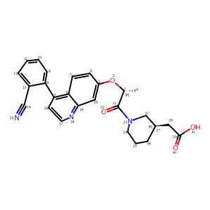 C[C@@H](Oc1ccc2c(-c3ccccc3C#N)ccnc2c1)C(=O)N1CCC[C@H](CC(=O)O)C1